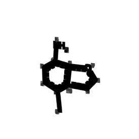 Cc1ccc(N)c2occc12